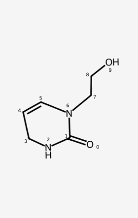 O=C1NCC=CN1CCO